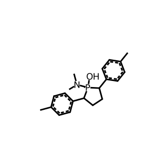 Cc1ccc(C2CCC(c3ccc(C)cc3)[P]2(O)N(C)C)cc1